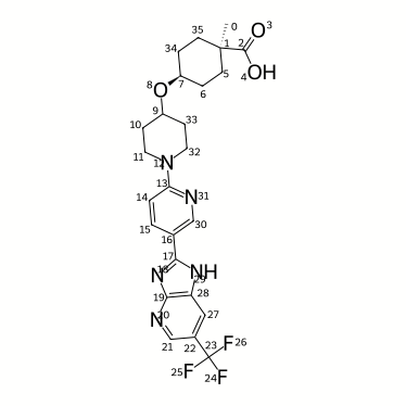 C[C@]1(C(=O)O)CC[C@@H](OC2CCN(c3ccc(-c4nc5ncc(C(F)(F)F)cc5[nH]4)cn3)CC2)CC1